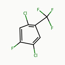 Fc1cc(Cl)c(C(F)(F)F)cc1Cl